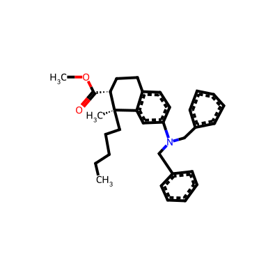 CCCCC[C@]1(C)c2cc(N(Cc3ccccc3)Cc3ccccc3)ccc2CC[C@H]1C(=O)OC